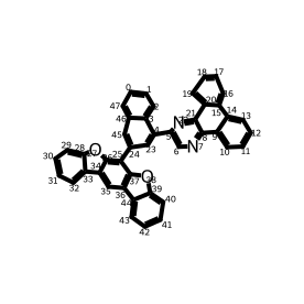 c1ccc2c(-c3cnc4c5ccccc5c5ccccc5c4n3)cc(-c3c4oc5ccccc5c4cc4c3oc3ccccc34)cc2c1